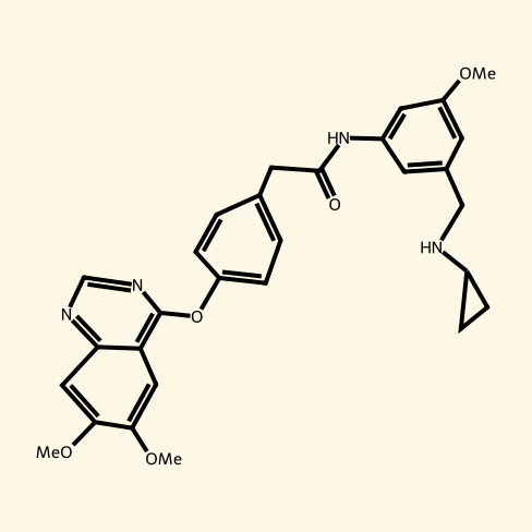 COc1cc(CNC2CC2)cc(NC(=O)Cc2ccc(Oc3ncnc4cc(OC)c(OC)cc34)cc2)c1